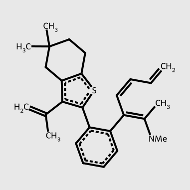 C=C/C=C\C(=C(/C)NC)c1ccccc1-c1sc2c(c1C(=C)C)CC(C)(C)CC2